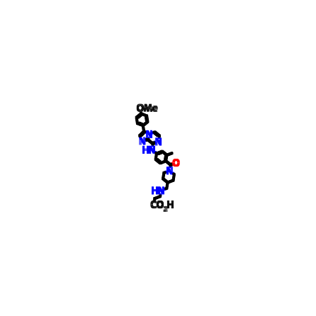 COc1ccc(-c2cnc3c(Nc4ccc(C(=O)N5CCC(CNCCC(=O)O)CC5)c(C)c4)nccn23)cc1